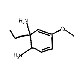 CCC1(N)C=C(OC)C=CC1N